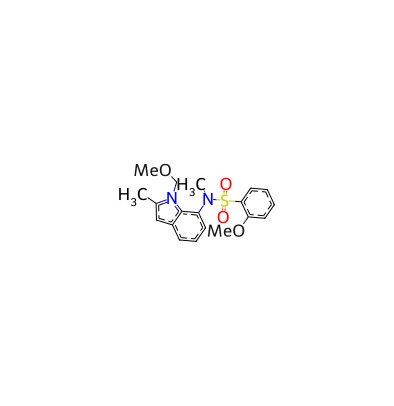 COCn1c(C)cc2cccc(N(C)S(=O)(=O)c3ccccc3OC)c21